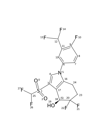 O=S(=O)(c1cn(-c2ccc(F)c(C(F)F)c2)c2c1[C@H](O)C(F)(F)CC2)C(F)F